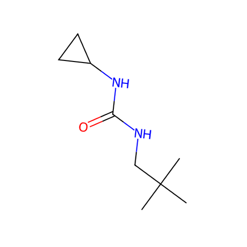 CC(C)(C)CNC(=O)NC1CC1